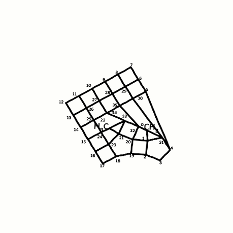 CC12C3CC4C5C6CC7C8C9C%10CC%11C%12C%13C%14CC%15C3C13C1(C)C%14%15C%13%14C%12%13C%11%10C9%10C89C67C56C42C32C1%14C%13%10C692